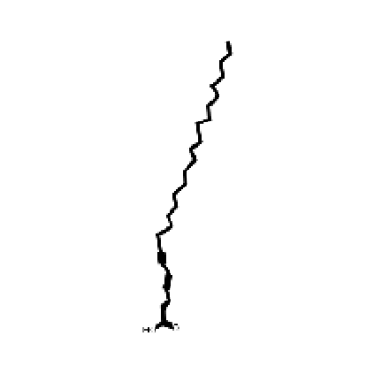 CCCCCCCCCCCCCCCCCCCC#CC#CC=CC(=O)O